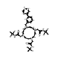 CC(C)(C)OC(=O)CN1CCN(CC(=O)OC(C)(C)C)CCN(Cc2cccc(-c3cnncn3)n2)CCN(CC(=O)OC(C)(C)C)CC1